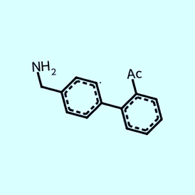 CC(=O)c1ccccc1-c1[c]cc(CN)cc1